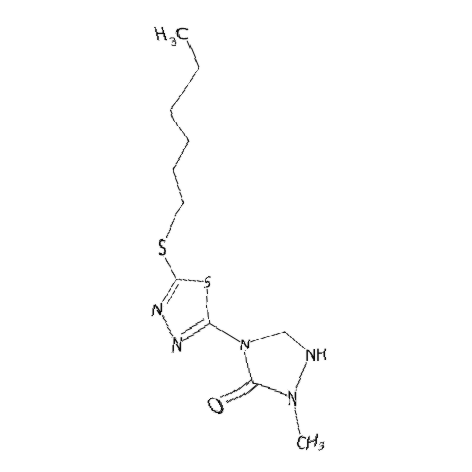 CCCCCCSc1nnc(N2CNN(C)C2=O)s1